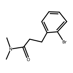 CN(C)C(=O)CCc1ccccc1Br